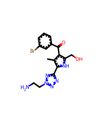 Cc1c(-c2nnn(CCN)n2)[nH]c(CO)c1C(=O)c1cccc(Br)c1